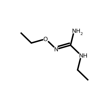 CCNC(N)=NOCC